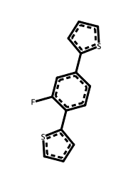 Fc1cc(-c2cccs2)ccc1-c1cccs1